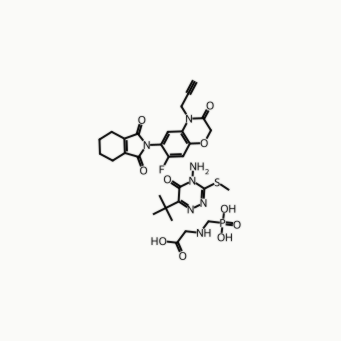 C#CCN1C(=O)COc2cc(F)c(N3C(=O)C4=C(CCCC4)C3=O)cc21.CSc1nnc(C(C)(C)C)c(=O)n1N.O=C(O)CNCP(=O)(O)O